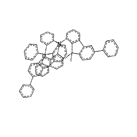 CC1(C)c2ccc(-c3ccccc3)cc2-c2cccc(N(c3ccccc3C3(c4ccccc4)c4ccccc4-c4ccccc43)c3cccc4c3oc3ccc(-c5ccccc5)cc34)c21